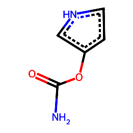 NC(=O)Oc1cc[nH]c1